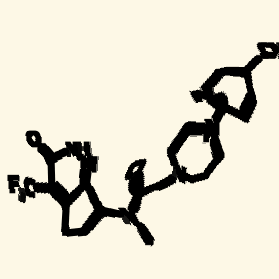 CN(C(=O)CN1CCN(c2ccc(C#N)cn2)CC1)C1CCc2c1n[nH]c(=O)c2C(F)(F)F